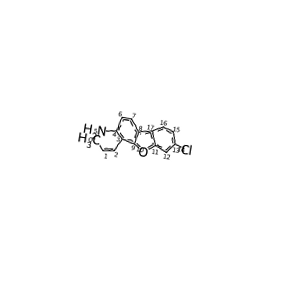 C/C=C\c1c(N)ccc2c1oc1cc(Cl)ccc12